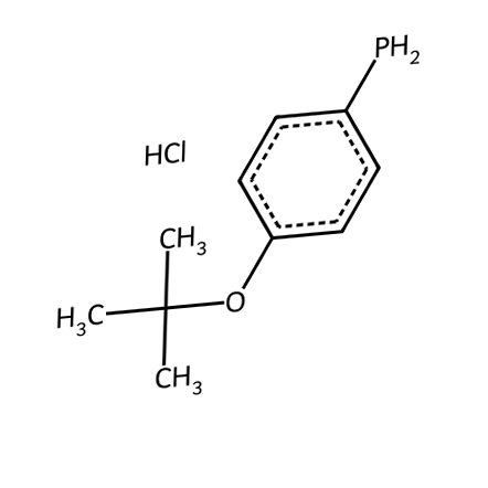 CC(C)(C)Oc1ccc(P)cc1.Cl